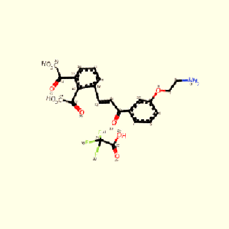 NCCOc1cccc(C(=O)C=Cc2cccc(C(=O)C(=O)O)c2C(=O)C(=O)O)c1.O=C(O)C(F)(F)F